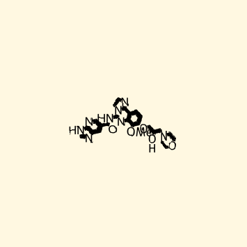 COc1c(OC[C@@H](O)CN2CCOCC2)ccc2c1N=C(NC(=O)c1cnc3[nH]cnc3c1)N1CCN=C21